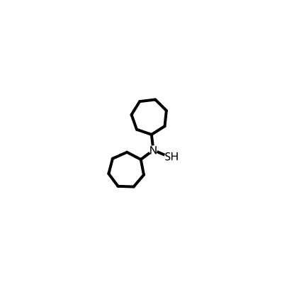 SN(C1CCCCCC1)C1CCCCCC1